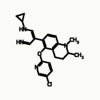 CC1CCc2c(ccc(/C(C=N)=C/NC3CC3)c2Oc2ccc(Cl)cn2)N1C